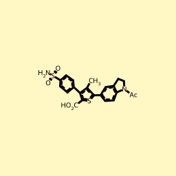 CC(=O)N1CCc2cc(-c3sc(C(=O)O)c(-c4ccc(S(N)(=O)=O)cc4)c3C)ccc21